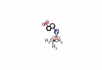 CC(C)(C)OC(=O)n1cnc(C2=CCCc3c2cccc3[N+](=O)[O-])c1